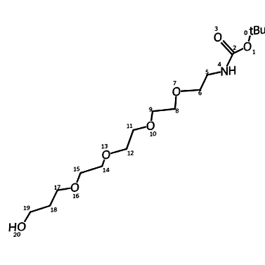 CC(C)(C)OC(=O)NCCOCCOCCOCCOCCCO